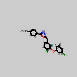 COc1ccc(-c2nnc(Cc3ccc(Cl)c(Oc4cc(Cl)cc(Br)c4)c3F)o2)cc1